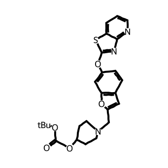 CC(C)(C)OC(=O)OC1CCN(Cc2cc3ccc(Oc4nc5ncccc5s4)cc3o2)CC1